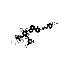 Cc1c(OCCCN2CCC(O)CC2)cccc1-c1cccc2c1C[C@H](F)[C@@H]2Oc1cc(OCc2cncc(C#N)c2)c(CN[C@H](C(N)=O)[C@@H](C)O)cc1Cl